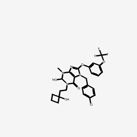 CN1c2nc(Oc3cccc(OC(F)(F)F)c3)n(Cc3ccc(Cl)cc3)c2C(=O)N(CCC2(O)CCC2)C1O